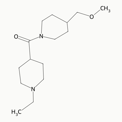 CCN1CCC(C(=O)N2CCC(COC)CC2)CC1